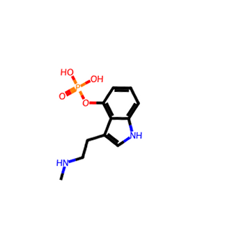 CNCCc1c[nH]c2cccc(OP(=O)(O)O)c12